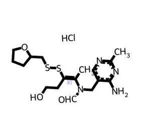 C/C(=C(/CCO)SSCC1CCCO1)N(C=O)Cc1cnc(C)nc1N.Cl